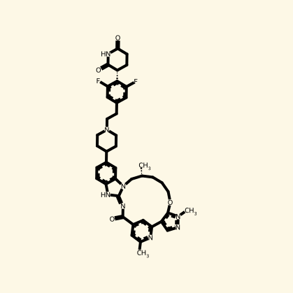 Cc1cc2cc(n1)-c1cnn(C)c1OCCC[C@@H](C)CN1/C(=N/C2=O)Nc2ccc(C3CCN(CCc4cc(F)c([C@H]5CCC(=O)NC5=O)c(F)c4)CC3)cc21